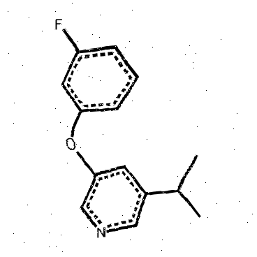 CC(C)c1cncc(Oc2cccc(F)c2)c1